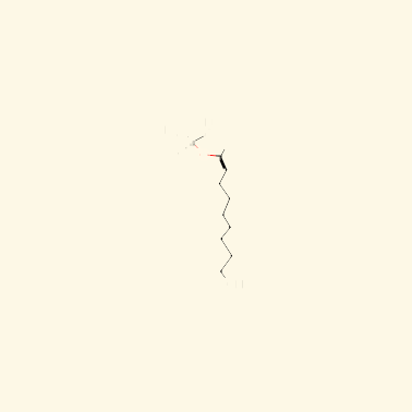 CCCCCCCCC=C(C)O[Si](C)(C)C